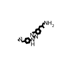 C/C(=C\c1ccc2nc(Nc3ccc(CN(C)C)cc3)ncc2c1)CN